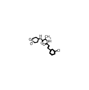 C[C@@H](NC(=O)/C=C/c1cccc(Cl)c1)C(=O)NC1CCS(=O)(=O)CC1